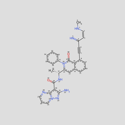 CN/C=C\C(=N)C#Cc1cccc2cc([C@@H](C)NC(=O)c3c(N)nn4cccnc34)n(-c3ccccc3)c(=O)c12